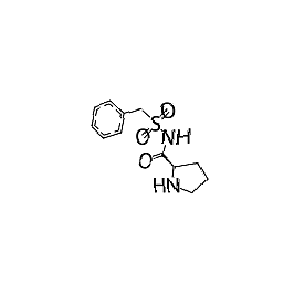 O=C(NS(=O)(=O)Cc1ccccc1)[C@H]1CCCN1